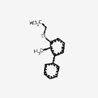 Cc1c(OCC(=O)O)cccc1-c1ccccc1